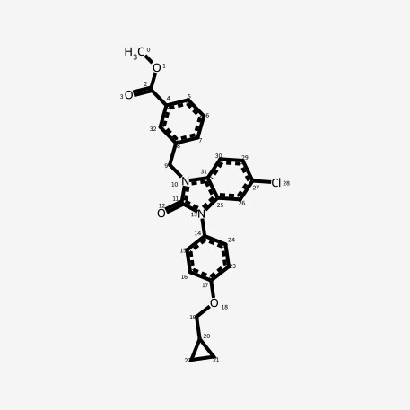 COC(=O)c1cccc(Cn2c(=O)n(-c3ccc(OCC4CC4)cc3)c3cc(Cl)ccc32)c1